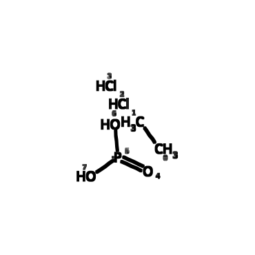 CC.Cl.Cl.O=[P](O)O